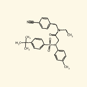 CCN(Cc1ccc(C#N)cc1)C(=O)CN(c1ccc(C)cc1)S(=O)(=O)c1ccc(C(C)(C)C)cc1